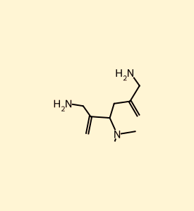 C=C(CN)CC(C(=C)CN)N(C)C